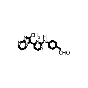 Cc1nc2ncccn2c1-c1ccnc(Nc2ccc(CC=O)cc2)n1